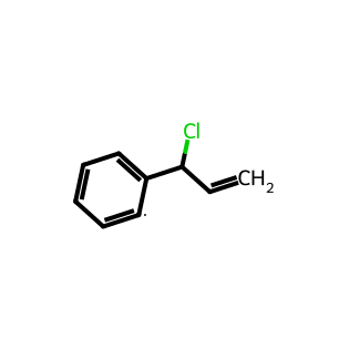 C=CC(Cl)c1[c]cccc1